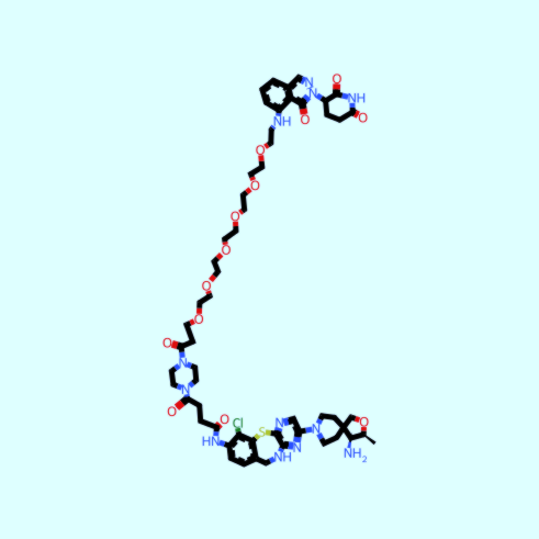 C[C@@H]1OCC2(CCN(c3cnc4c(n3)NCc3ccc(NC(=O)CCC(=O)N5CCN(C(=O)CCOCCOCCOCCOCCOCCOCCNc6cccc7cnn(C8CCC(=O)NC8=O)c(=O)c67)CC5)c(Cl)c3S4)CC2)[C@@H]1N